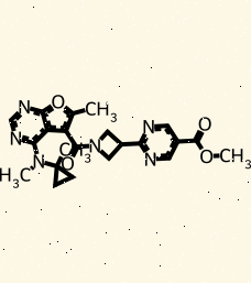 COC(=O)c1cnc(C2CN(C(=O)c3c(C)oc4ncnc(N(C)C5(C)CC5)c34)C2)nc1